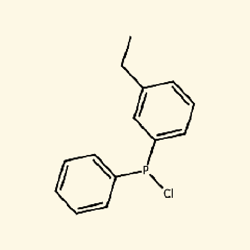 CCc1cccc(P(Cl)c2ccccc2)c1